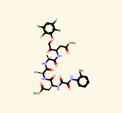 COC(=O)CC(NC(=O)[C@H](C)NC(=O)[C@@H](NC(=O)[C@H](CC(=O)OC)NC(=O)C(=O)Nc1ccccc1C(C)(C)C)C(C)C)C(=O)COc1c(F)c(F)cc(F)c1F